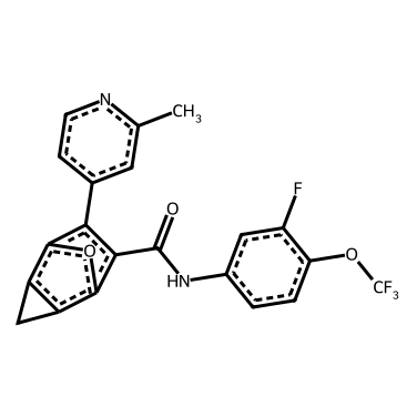 Cc1cc(-c2c(C(=O)Nc3ccc(OC(F)(F)F)c(F)c3)c3oc2c2c3C2)ccn1